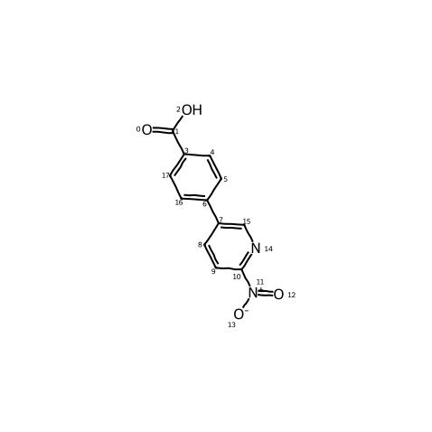 O=C(O)c1ccc(-c2ccc([N+](=O)[O-])nc2)cc1